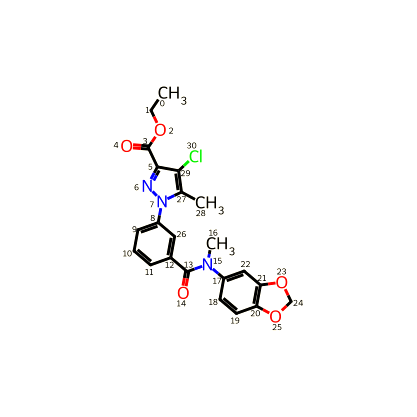 CCOC(=O)c1nn(-c2cccc(C(=O)N(C)c3ccc4c(c3)OCO4)c2)c(C)c1Cl